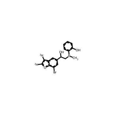 [2H]c1oc2c(Br)cc(C(O)CN(C)c3ccccc3O)cc2c1[2H]